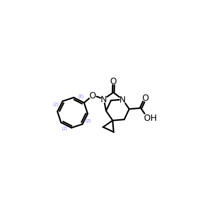 O=C(O)C1CC2(CC2)C2CN1C(=O)N2OC1=C/C=C\C=C/C=C\1